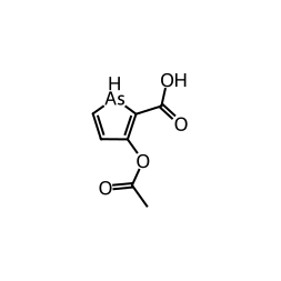 CC(=O)OC1=C(C(=O)O)[AsH]C=C1